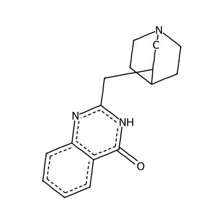 O=c1[nH]c(CC2CN3CCC2CC3)nc2ccccc12